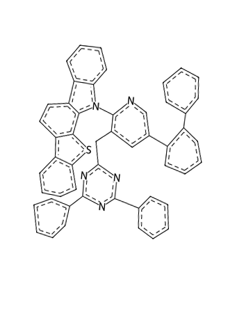 c1ccc(-c2nc(Cc3cc(-c4ccccc4-c4ccccc4)cnc3-n3c4ccccc4c4ccc5c6ccccc6sc5c43)nc(-c3ccccc3)n2)cc1